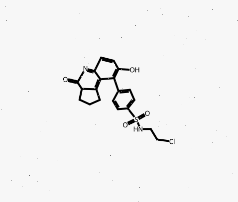 O=C1N=c2ccc(O)c(-c3ccc(S(=O)(=O)NCCCl)cc3)c2=C2CCCC12